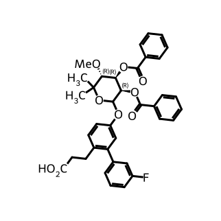 CO[C@@H]1[C@@H](OC(=O)c2ccccc2)[C@@H](OC(=O)c2ccccc2)C(Oc2ccc(CCC(=O)O)c(-c3cccc(F)c3)c2)OC1(C)C